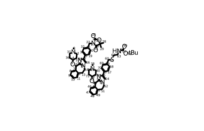 CN1CCC(OC2c3ccccc3CCn3cc(-c4ccc(CN5C(=O)OC(C)(C)C5=O)cc4)nc32)CC1.CN1CCC(OC2c3ccccc3CCn3cc(-c4ccc(CSCCNC(=O)OC(C)(C)C)cc4)nc32)CC1